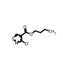 CCCCOC(=O)c1csnc1[O]